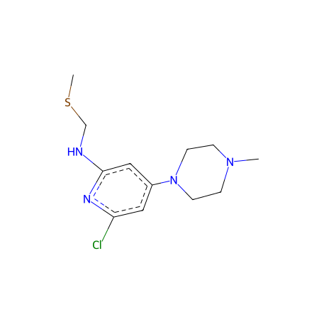 CSCNc1cc(N2CCN(C)CC2)cc(Cl)n1